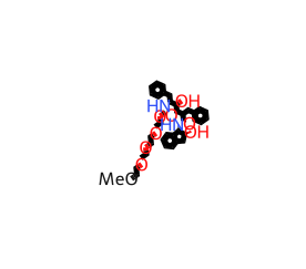 COCCOCCOCCOCCOC(=O)NC(Cc1ccccc1)C(O)CC(Cc1ccccc1)C(=O)N[C@H]1c2ccccc2C[C@@H]1O